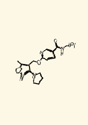 Cc1onc(N2CCCC2)c1COc1ccc(C(=O)NC(C)C)cn1